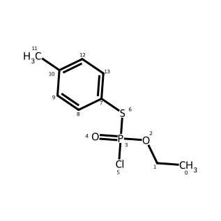 CCOP(=O)(Cl)Sc1ccc(C)cc1